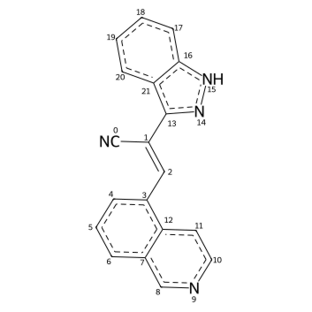 N#C/C(=C\c1cccc2cnccc12)c1n[nH]c2ccccc12